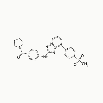 CS(=O)(=O)c1ccc(-c2cccn3nc(Nc4ccc(C(=O)N5CCCC5)cc4)nc23)cc1